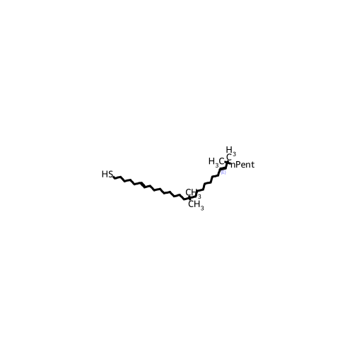 CCCCCC(C)(C)/C=C/CCCCCCCC(C)(C)CCCCCCCCC=CCCCCCS